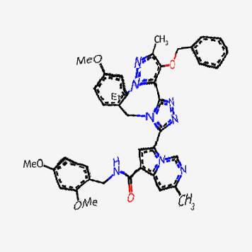 CCn1nc(C)c(OCc2ccccc2)c1-c1nnc(-c2cc(C(=O)NCc3ccc(OC)cc3OC)c3cc(C)ncn23)n1Cc1ccc(OC)cc1